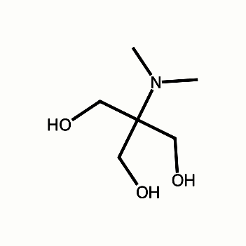 CN(C)C(CO)(CO)CO